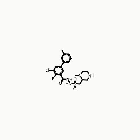 Cc1cccc(-c2cc(Cl)c(F)c(C(=O)NNS(=O)(=O)CC3CNCCN3C)c2)c1